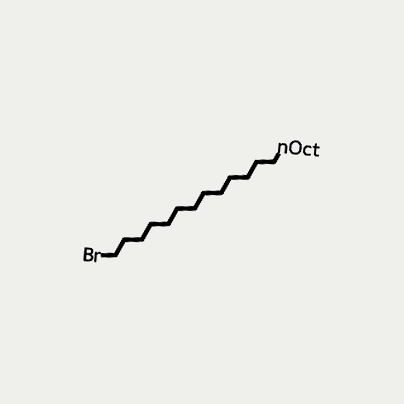 CCCCCCCCCCCCCCCCCCCCCBr